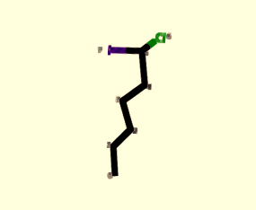 CCCCCC(Cl)I